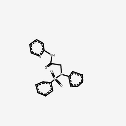 O=C(CN(c1ccccc1)S(=O)(=O)c1ccccc1)Nc1ccccn1